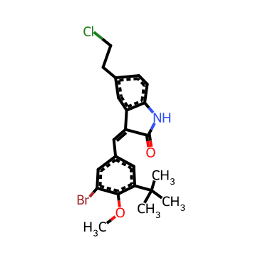 COc1c(Br)cc(C=C2C(=O)Nc3ccc(CCCl)cc32)cc1C(C)(C)C